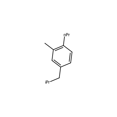 [CH2]CCc1ccc(CC(C)C)cc1C